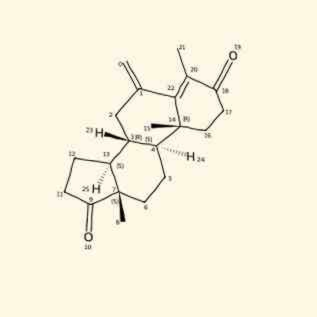 C=C1C[C@@H]2[C@H](CC[C@]3(C)C(=O)CC[C@@H]23)[C@@]2(C)CCC(=O)C(C)=C12